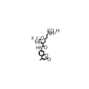 Cc1cc(=O)oc2cc(NC(=O)C(CCCCNC(=O)O)NC(=O)C(F)(F)F)ccc12